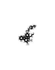 CCCCCC1(c2ccc(OCCN3CC(CF)C3)cc2)NC(C)Cc2c1[nH]c1ccccc21